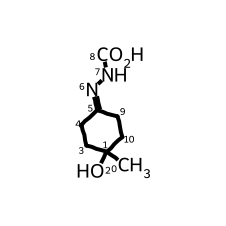 CC1(O)CCC(=NNC(=O)O)CC1